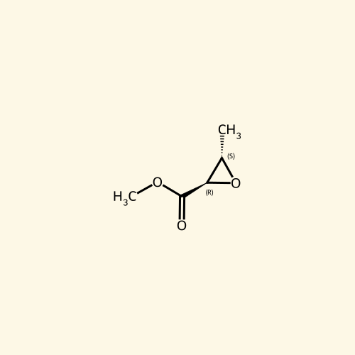 COC(=O)[C@@H]1O[C@H]1C